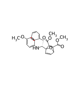 COC(=O)C1=C(C(=O)OC)C2([C@@H](Cc3ccccc3)Nc3ccc(OC)cc3)C=CC1O2